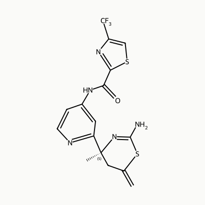 C=C1C[C@@](C)(c2cc(NC(=O)c3nc(C(F)(F)F)cs3)ccn2)N=C(N)S1